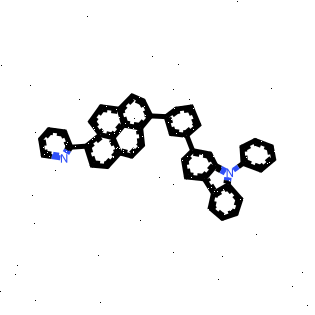 c1ccc(-n2c3ccccc3c3ccc(-c4cccc(-c5ccc6ccc7c(-c8ccccn8)ccc8ccc5c6c87)c4)cc32)cc1